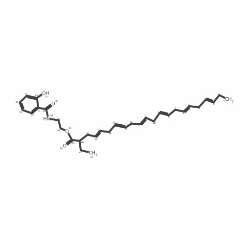 CCC=CCC=CCC=CCC=CCC=CCC=CCC(CC)C(=O)OCCNC(=O)c1ccccc1O